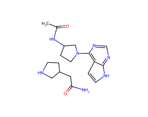 CC(=O)NC1CCN(c2ncnc3[nH]ccc23)C1.NC(=O)CC1CCNC1